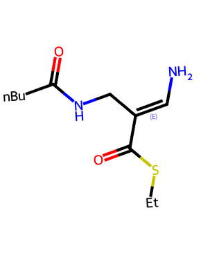 CCCCC(=O)NC/C(=C\N)C(=O)SCC